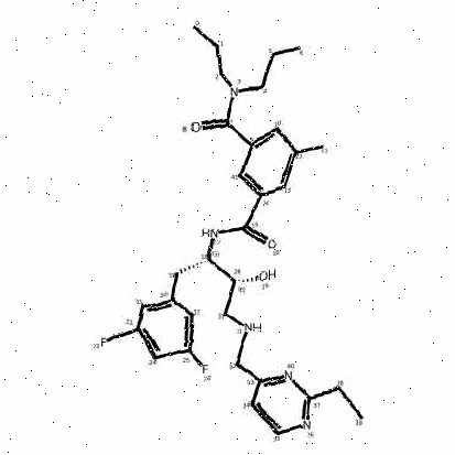 CCCN(CCC)C(=O)c1cc(C)cc(C(=O)N[C@@H](Cc2cc(F)cc(F)c2)[C@H](O)CNCc2ccnc(CC)n2)c1